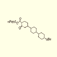 CCCCCOC(=O)C1CCC(C2CCC(C3CCC(CCCC)CC3)CC2)CC1=O